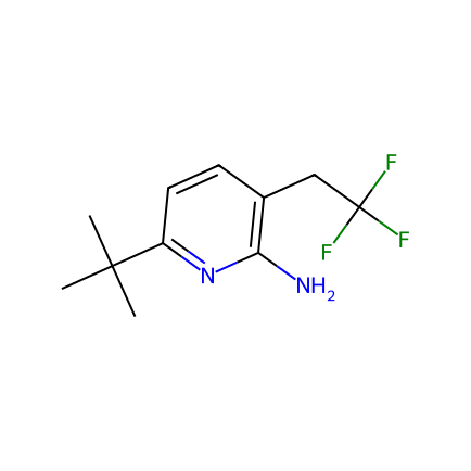 CC(C)(C)c1ccc(CC(F)(F)F)c(N)n1